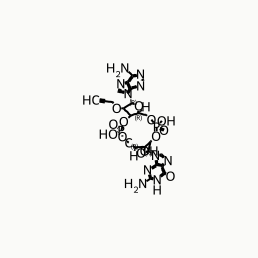 C#CCOC1C2OP(=O)(O)OC[C@H]3O[C@@H](n4cnc5c(=O)[nH]c(N)nc54)C(OP(=O)(O)OC[C@H]2O[C@H]1n1cnc2c(N)ncnc21)C3O